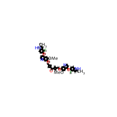 COc1cc2c(Oc3ccc4[nH]c(C)cc4c3F)ccnc2cc1OCC1CC(C(=O)C2CC(COc3cc4nccc(Oc5ccc6[nH]c(C)cc6c5F)c4cc3OC)C2)C1